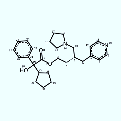 O=C(OCC[C@@H](Cc1ccncc1)CN1CCCC1)C(O)(c1ccccc1)C1CCCC1